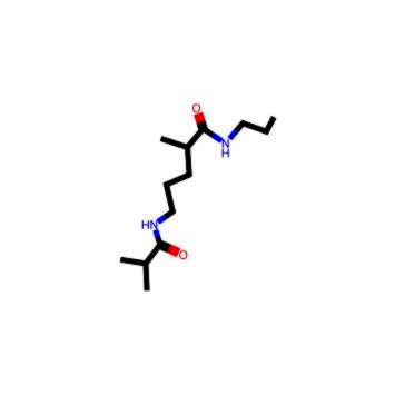 CCCNC(=O)C(C)CCCNC(=O)C(C)C